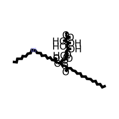 CCCCCCCC/C=C\CCCCCCCC(=O)OC(COC(=O)CCCCCCCCCCCCCCC)COP(=O)(O)OCC(O)C(O)C(O)C(O)C(=O)OC